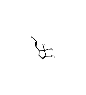 CC(=O)C=CC1CC=C(C)C1(C)C